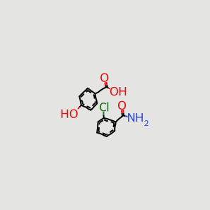 NC(=O)c1ccccc1Cl.O=C(O)c1ccc(O)cc1